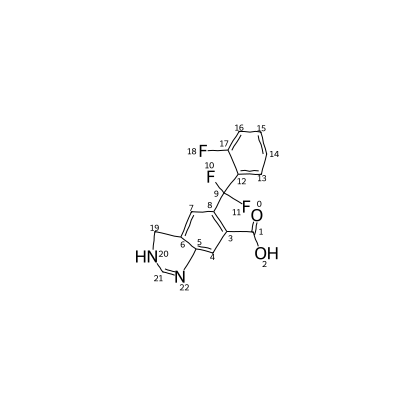 O=C(O)c1cc2c(cc1C(F)(F)c1ccccc1F)CNC=N2